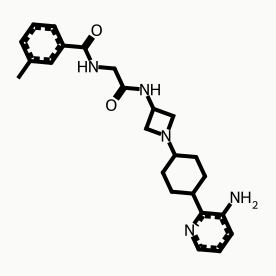 Cc1cccc(C(=O)NCC(=O)NC2CN(C3CCC(c4ncccc4N)CC3)C2)c1